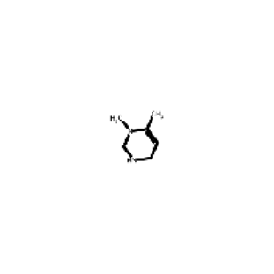 CC1=CCNCN1C